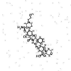 COCCN1CCN(c2cc(Cl)c(C(=O)N3COc4c(cccc4-c4c(F)cc(C(=O)O)c(N5CCOCC5)c4C)C3)c(Cl)c2)C(C(N)=O)C1